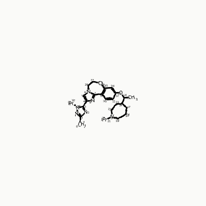 Cc1nc(-c2cn3c(n2)-c2ccc(OC(C)C4CCCN(C(C)C)CC4)cc2OCC3)n(C(C)C)n1